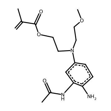 C=C(C)C(=O)OCCN(CCOC)c1ccc(N)c(NC(C)=O)c1